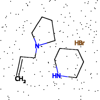 Br.C1CCNCC1.C=CCN1CCCC1